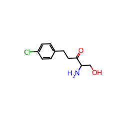 N[C](CO)C(=O)CCc1ccc(Cl)cc1